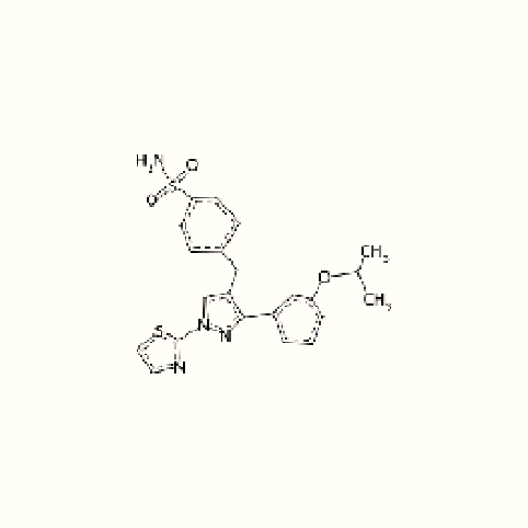 CC(C)Oc1cccc(-c2nn(-c3nccs3)cc2Cc2ccc(S(N)(=O)=O)cc2)c1